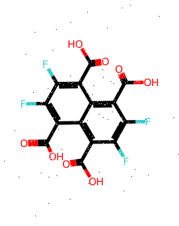 O=C(O)c1c(F)c(F)c(C(=O)O)c2c(C(=O)O)c(F)c(F)c(C(=O)O)c12